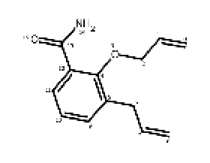 C=CCOc1c(CC=C)cccc1C(N)=O